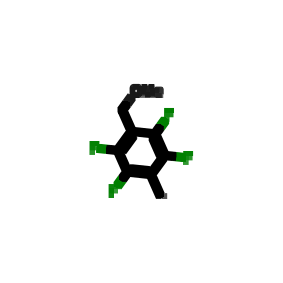 [CH2]c1c(F)c(F)c(COC)c(F)c1F